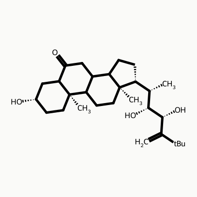 C=C([C@@H](O)[C@H](O)[C@@H](C)[C@H]1CCC2C3CC(=O)C4C[C@@H](O)CC[C@]4(C)C3CC[C@@]21C)C(C)(C)C